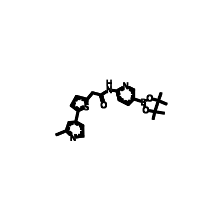 Cc1cc(-c2ccc(CC(=O)Nc3ccc(B4OC(C)(C)C(C)(C)O4)cn3)s2)ccn1